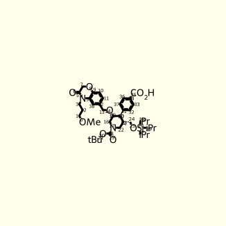 COCCCN1C(=O)COc2ccc(CO[C@H]3CN(C(=O)OC(C)(C)C)C[C@@H](CO[Si](C(C)C)(C(C)C)C(C)C)[C@@H]3c3ccc(C(=O)O)cc3)cc21